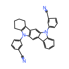 N#Cc1cccc(-n2c3c(c4cc5c(cc42)c2ccccc2n5-c2cccc(C#N)c2)CCCC3)c1